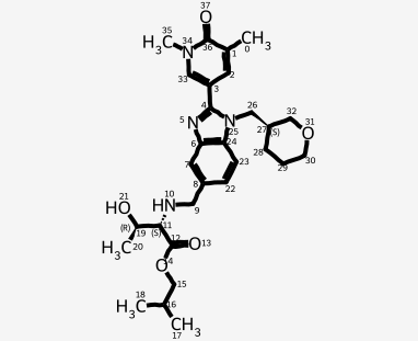 Cc1cc(-c2nc3cc(CN[C@H](C(=O)OCC(C)C)[C@@H](C)O)ccc3n2C[C@@H]2CCCOC2)cn(C)c1=O